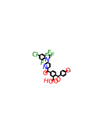 COc1ccc(C(=O)c2ccc(C(=O)c3ccc(N(CC(F)(F)F)c4ccc(Cl)cc4F)cn3)cc2C(=O)O)cc1